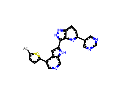 CC(=O)c1ccc(-c2cncc3[nH]c(-c4n[nH]c5ccc(-c6cncnc6)nc45)cc23)s1